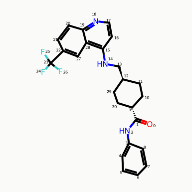 O=C(Nc1ccccc1)[C@H]1CC[C@H](CNc2ccnc3ccc(C(F)(F)F)cc23)CC1